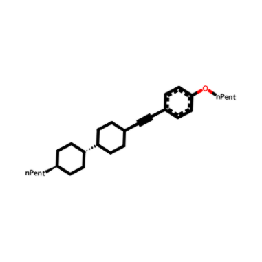 CCCCCOc1ccc(C#CC2CCC([C@H]3CC[C@H](CCCCC)CC3)CC2)cc1